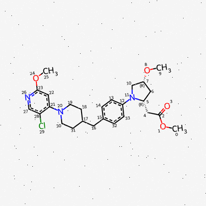 COC(=O)C[C@H]1C[C@@H](OC)CN1c1ccc(CC2CCN(c3cc(OC)ncc3Cl)CC2)cc1